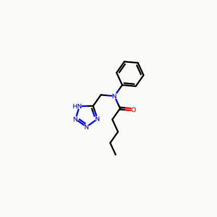 CCCCC(=O)N(Cc1nnn[nH]1)c1ccccc1